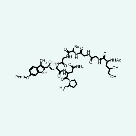 CCCC(C)Oc1ccc2c(C)c([S+]([O-])C[C@H](NC(=O)CNC(=O)C(NC(=O)CNC(=O)CNC(=O)C(CC(O)CO)NC(C)=O)C(C)CC)C(=O)NC(CC(N)=O)C(=O)N3CCCC3C)[nH]c2c1